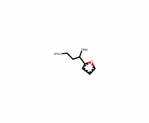 CCCCCCCC(OC)c1ccco1